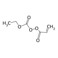 C=CC(=O)OOC(=O)OCC